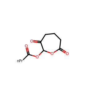 CCCC(=O)OC1OC(=O)CCCC1=O